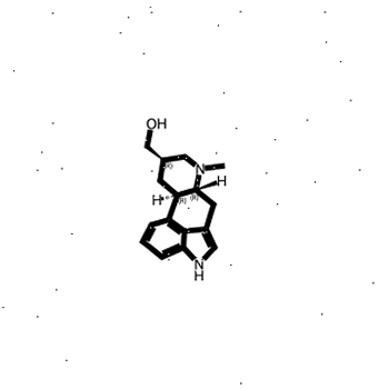 CN1C[C@H](CO)C[C@@H]2c3cccc4[nH]cc(c34)C[C@H]21